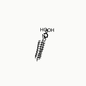 OB(O)c1ccc(OCC(F)(F)C(F)(F)C(F)(F)C(F)(F)C(F)(F)C(F)(F)C(F)(F)C(F)(F)F)nc1